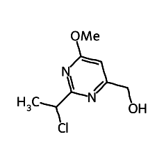 COc1cc(CO)nc(C(C)Cl)n1